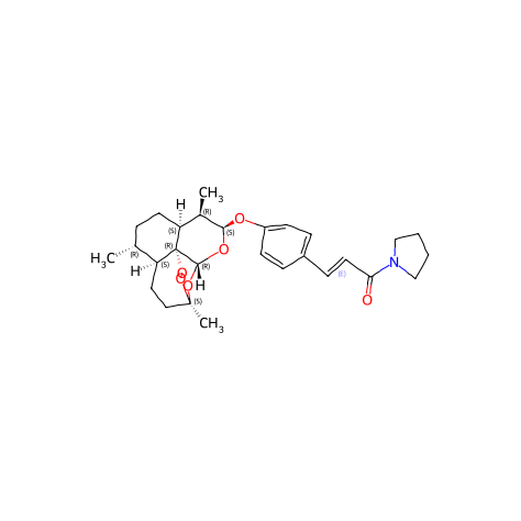 C[C@H]1[C@@H](Oc2ccc(/C=C/C(=O)N3CCCC3)cc2)O[C@@H]2O[C@]3(C)CC[C@H]4[C@H](C)CC[C@@H]1[C@@]24OO3